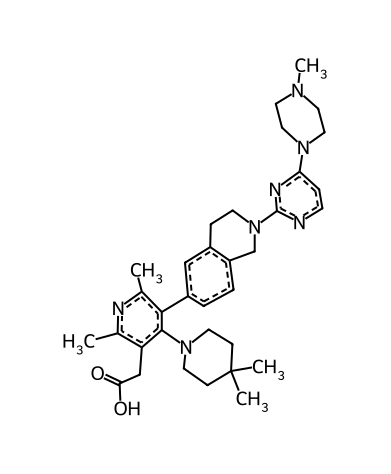 Cc1nc(C)c(-c2ccc3c(c2)CCN(c2nccc(N4CCN(C)CC4)n2)C3)c(N2CCC(C)(C)CC2)c1CC(=O)O